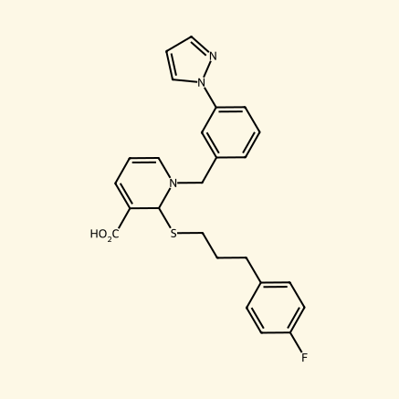 O=C(O)C1=CC=CN(Cc2cccc(-n3cccn3)c2)C1SCCCc1ccc(F)cc1